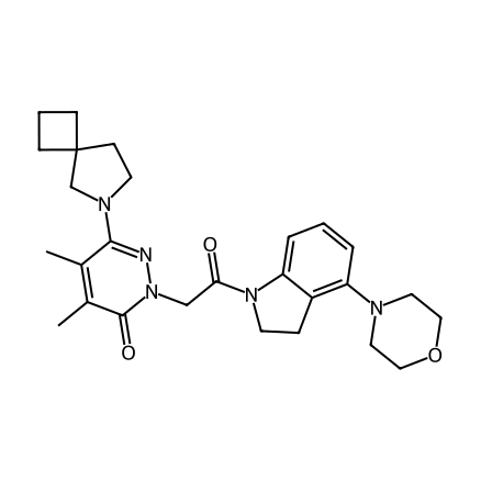 Cc1c(N2CCC3(CCC3)C2)nn(CC(=O)N2CCc3c(N4CCOCC4)cccc32)c(=O)c1C